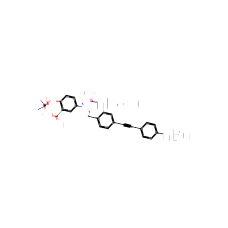 CCCCCC(=O)N(Cc1ccc(C#Cc2ccc(CCCC)cc2)cc1)c1ccc2c(c1)C(=O)OC(C)(C)O2